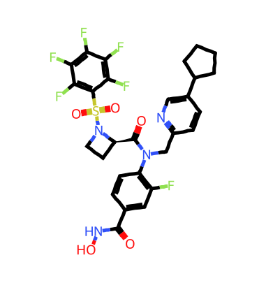 O=C(NO)c1ccc(N(Cc2ccc(C3CCCC3)cn2)C(=O)[C@H]2CCN2S(=O)(=O)c2c(F)c(F)c(F)c(F)c2F)c(F)c1